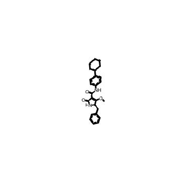 COC1=C(C(=O)Nc2ccc(C3CCCCC3)cc2)C(=O)NC1Cc1ccccc1